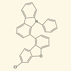 Clc1ccc2c(c1)oc1cccc(-c3cccc4c5ccccc5n(-c5ccccc5)c34)c12